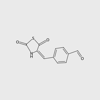 O=Cc1ccc(C=C2NC(=O)SC2=O)cc1